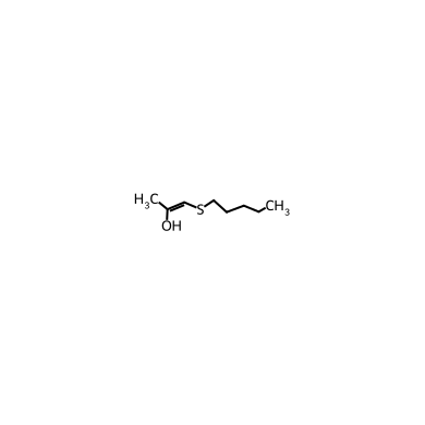 CCCCCSC=C(C)O